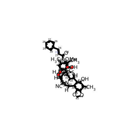 COc1c(C)cc2c(c1O)[C@H]1C3[C@@H]4SC[C@H](NC(=O)C(C)NC(=O)/C=C/c5ccccc5)C(=O)OC[C@@H](c5c6c(c(C)c(O)c54)OCO6)N3[C@@H](C#N)[C@H](C2)N1C